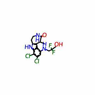 CC1C(=O)NCCc2[nH]c3c(Cl)c(Cl)cc(NCC(F)(F)CO)c3c21